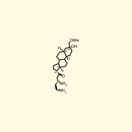 COC[C@@]1(O)CC[C@@H]2C3CC[C@@]4(C)C(CC[C@@H]4C(=O)CN(N)/C=C\N)C3CC[C@@H]2C1